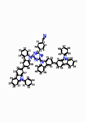 N#Cc1ccc(-c2nc(-n3c4ccccc4c4cc(-c5ccc6c7ccccc7n(-c7ccccc7)c6c5)ccc43)nc(-n3c4ccccc4c4cc(-c5ccc6c7ccccc7n(-c7ccccc7)c6c5)ccc43)n2)cc1